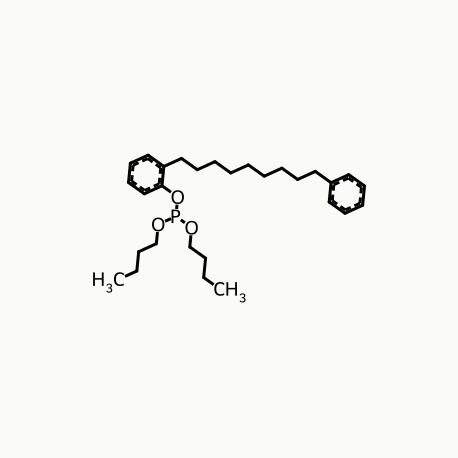 CCCCOP(OCCCC)Oc1ccccc1CCCCCCCCCc1ccccc1